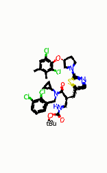 Cc1cc(Cl)c(O[C@@H]2CCN(c3ncc(C[C@@H](CNC(=O)OC(C)(C)C)C(=O)N(Cc4cccc(Cl)c4Cl)C4CC4)s3)C2)c(Cl)c1C